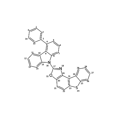 c1ccc(-c2cccc3c2c2ccccc2n3-c2nc3c(ccc4sc5ccccc5c43)o2)cc1